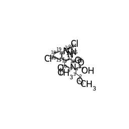 COCCC(C(=O)O)n1cc(OC)c(-c2cc(Cl)ccc2-n2cc(Cl)nn2)cc1=O